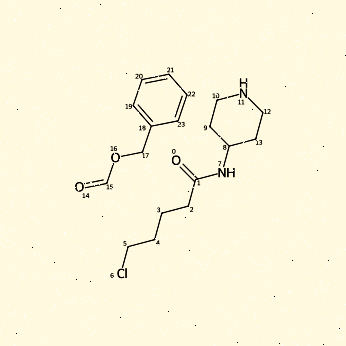 O=C(CCCCCl)NC1CCNCC1.O=COCc1ccccc1